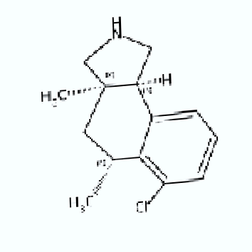 C[C@@H]1C[C@@]2(C)CNC[C@H]2c2cccc(Cl)c21